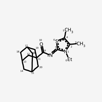 CCn1c(C)c(C)s/c1=N\C(=O)C12CC3CC(CC(C3)C1)C2